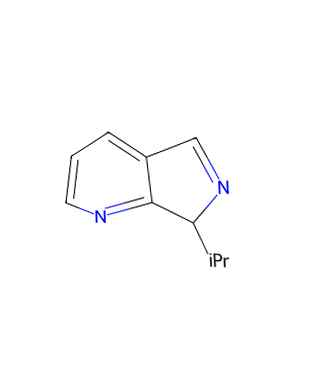 CC(C)C1N=Cc2cccnc21